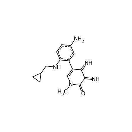 CN1C=C(c2cc(N)ccc2NCC2CC2)C(=N)C(=N)C1=O